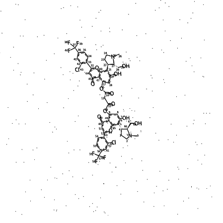 CN1CC[C@H](c2c(O)cc(OC(=O)CC(=O)Oc3cc(O)c([C@H]4CCN(C)[C@@H]4CO)c4oc(-c5ccc(C(F)(F)F)cc5Cl)cc(=O)c34)c3c(=O)cc(-c4ccc(C(F)(F)F)cc4Cl)oc23)[C@H]1CO